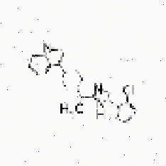 C[C@@H](c1ncc(-c2ccccc2Cl)[nH]1)C1CCC(c2ccnc3ccccc23)CC1